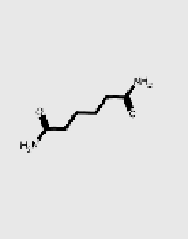 NC(=O)[CH]CCCC(N)=O